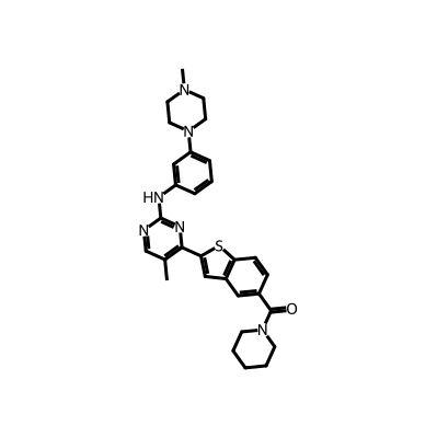 Cc1cnc(Nc2cccc(N3CCN(C)CC3)c2)nc1-c1cc2cc(C(=O)N3CCCCC3)ccc2s1